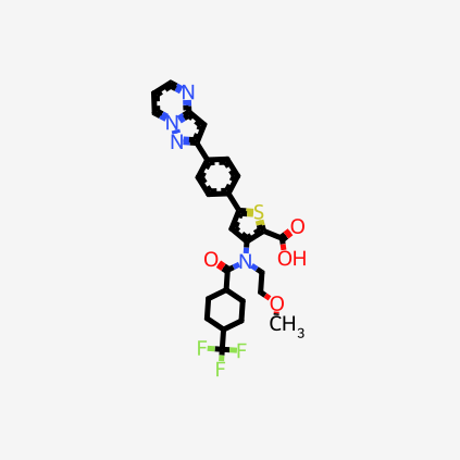 COCCN(C(=O)C1CCC(C(F)(F)F)CC1)c1cc(-c2ccc(-c3cc4ncccn4n3)cc2)sc1C(=O)O